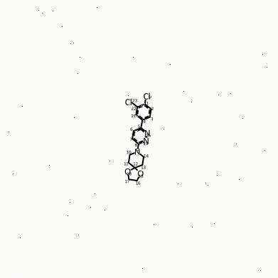 Clc1ccc(-c2ccc(N3CCC4(CC3)OCCO4)nn2)cc1Cl